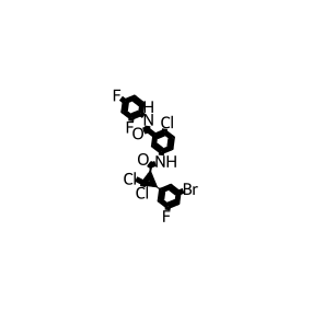 O=C(Nc1ccc(F)cc1F)c1cc(NC(=O)[C@H]2[C@H](c3cc(F)cc(Br)c3)C2(Cl)Cl)ccc1Cl